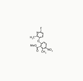 COC(=O)c1c(Oc2ccc(F)nc2C)ccc([N+](=O)[O-])c1C